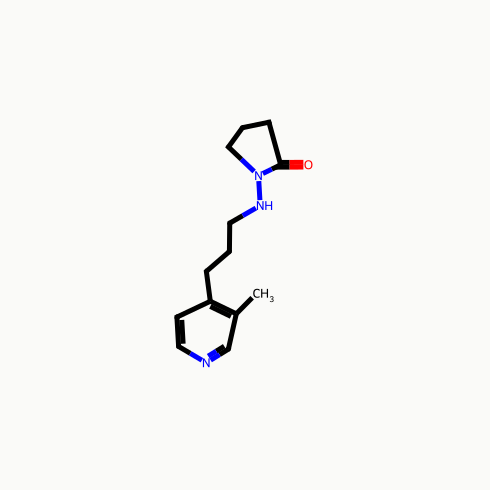 Cc1cnccc1CCCNN1CCCC1=O